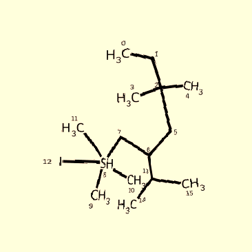 CCC(C)(C)CC(C[SH](C)(C)(C)I)C(C)C